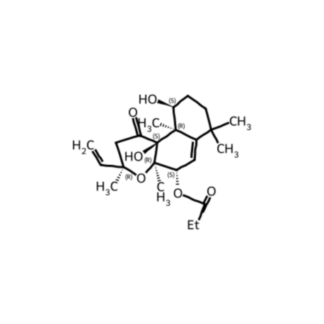 C=C[C@@]1(C)CC(=O)[C@@]2(O)[C@](C)(O1)[C@@H](OC(=O)CC)C=C1C(C)(C)CC[C@H](O)[C@@]12C